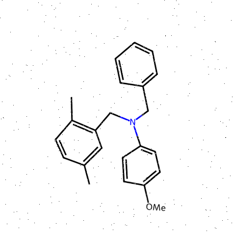 COc1ccc(N(Cc2ccccc2)Cc2cc(C)ccc2C)cc1